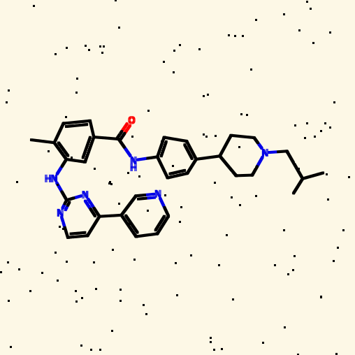 Cc1ccc(C(=O)Nc2ccc(C3CCN(CC(C)C)CC3)cc2)cc1Nc1nccc(-c2cccnc2)n1